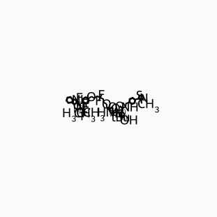 Cc1ncsc1-c1ccc(CNC(=O)[C@@H]2C[C@@H](O)CN2C(=O)[C@@H](NC(=O)COCCC(F)(F)CCOc2cc(F)c([C@@H]3c4[nH]c5ccccc5c4C[C@@H](C)N3CC(C)(C)F)c(F)c2)C(C)(C)C)cc1